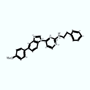 COc1ccc(-c2ccc3c(c2)ncn3-c2ccnc(NCCc3ccccc3)n2)cc1